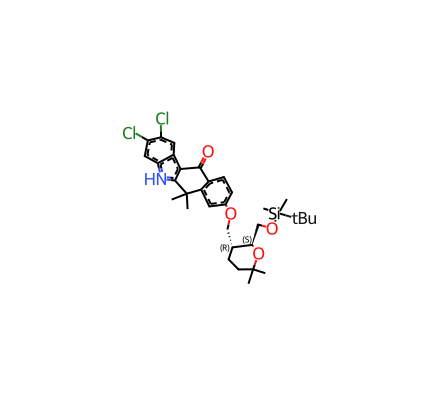 CC1(C)CC[C@H](COc2ccc3c(c2)C(C)(C)c2[nH]c4cc(Cl)c(Cl)cc4c2C3=O)[C@@H](CO[Si](C)(C)C(C)(C)C)O1